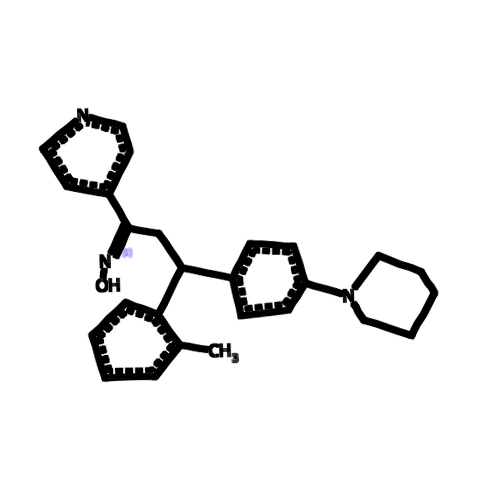 Cc1ccccc1C(C/C(=N\O)c1ccncc1)c1ccc(N2CCCCC2)cc1